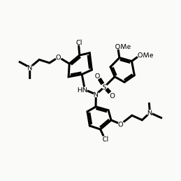 COc1ccc(S(=O)(=O)N(Nc2ccc(Cl)c(OCCN(C)C)c2)c2ccc(Cl)c(OCCN(C)C)c2)cc1OC